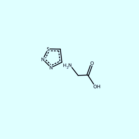 NCC(=O)O.c1csnn1